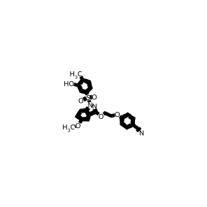 COc1ccc2c(c1)c(OCCOc1ccc(C#N)cc1)nn2S(=O)(=O)c1ccc(C)c(O)c1